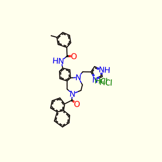 Cc1cccc(C(=O)Nc2ccc3c(c2)N(Cc2c[nH]cn2)CCN(C(=O)c2cccc4ccccc24)C3)c1.Cl.Cl